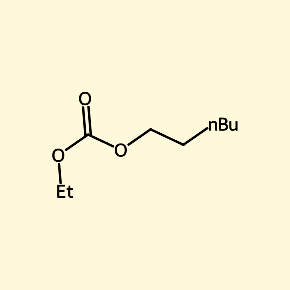 [CH2]COC(=O)OCCCCCC